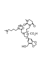 CCCCN(CCCCN(C)C)C(=O)CN1C[C@H](c2cc(CO)c3c(c2)OCO3)[C@@H](C(=O)O)[C@@H]1CCN1C(=O)CCN(C)C1=O